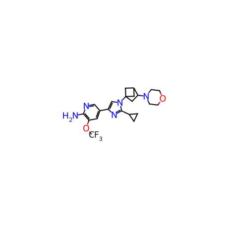 Nc1ncc(-c2cn(C34CC(C3)C(N3CCOCC3)C4)c(C3CC3)n2)cc1OC(F)(F)F